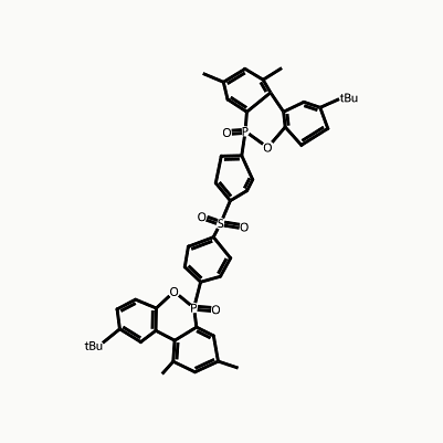 Cc1cc(C)c2c(c1)P(=O)(c1ccc(S(=O)(=O)c3ccc(P4(=O)Oc5ccc(C(C)(C)C)cc5-c5c(C)cc(C)cc54)cc3)cc1)Oc1ccc(C(C)(C)C)cc1-2